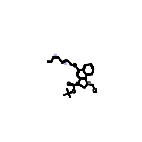 C=C/C=C\C=C\COc1cc2c(c3ccccc13)[C@@H](CCl)CN2C(=O)OC(C)(C)C